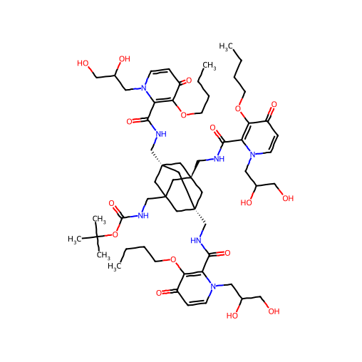 CCCCOc1c(C(=O)NC[C@]23CC4(CNC(=O)OC(C)(C)C)C[C@](CNC(=O)c5c(OCCCC)c(=O)ccn5CC(O)CO)(C2)C[C@@](CNC(=O)c2c(OCCCC)c(=O)ccn2CC(O)CO)(C4)C3)n(CC(O)CO)ccc1=O